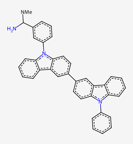 CNC(N)c1cccc(-n2c3ccccc3c3cc(-c4ccc5c(c4)c4ccccc4n5-c4ccccc4)ccc32)c1